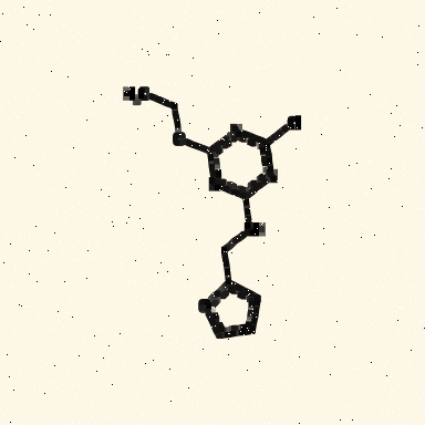 CCOc1nc(Cl)nc(NCc2ccco2)n1